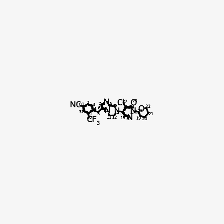 N#Cc1ccc(Cc2cnc3n2CCN(c2cnn(C4CCCCO4)c(=O)c2Cl)C3)c(C(F)(F)F)c1